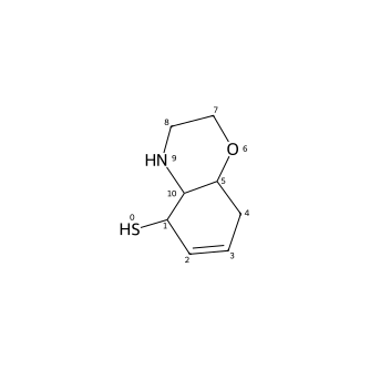 SC1C=CCC2OCCNC12